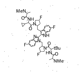 CNC(C)C(=O)NC(C(=O)N1CC(F)CC1Cc1c(-c2nc3cc(F)ccc3n2CC2CC(F)CN2C(=O)C(NC(=O)C(C)NC)C(C)(C)C)[nH]c2cc(F)ccc12)C1CC1